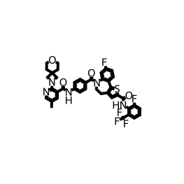 Cc1cnc(N2CC3(CCOCC3)C2)c(C(=O)Nc2ccc(C(=O)N3CCc4cc(C(=O)Nc5c(F)cccc5C(F)(F)F)sc4-c4ccc(F)cc43)cc2)c1